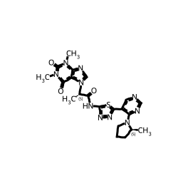 C[C@H]1CCCN1c1ncncc1-c1nnc(NC(=O)[C@H](C)n2cnc3c2c(=O)n(C)c(=O)n3C)s1